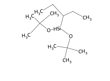 CCC(CC)[SiH](OC(C)(C)C)OC(C)(C)C